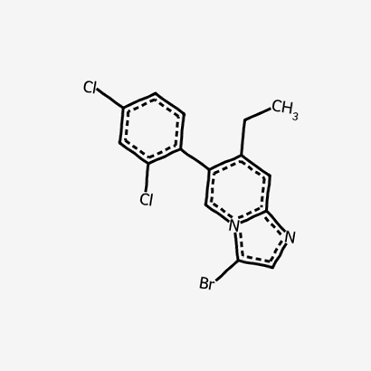 CCc1cc2ncc(Br)n2cc1-c1ccc(Cl)cc1Cl